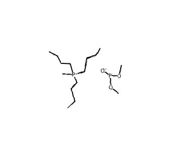 CCCC[P+](C)(CCCC)CCCC.COP([O-])OC